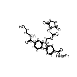 CCCNC(=O)c1ccc2c(c1)C(COC(=O)ON1C(=O)CCC1=O)c1cc(C(=O)NCCO)ccc1-2